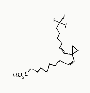 O=C(O)CCCCCCC/C=C\C1(/C=C\CCCCC(I)(I)I)CC1